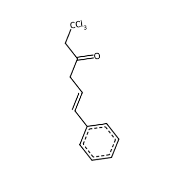 O=C(CC=Cc1ccccc1)CC(Cl)(Cl)Cl